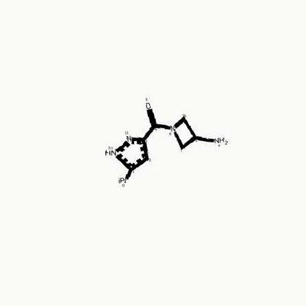 CC(C)c1cc(C(=O)N2CC(N)C2)n[nH]1